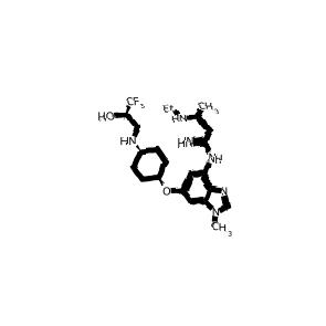 CCN/C(C)=C\C(=N)Nc1cc(O[C@H]2CC[C@@H](NC[C@@H](O)C(F)(F)F)CC2)cc2c1ncn2C